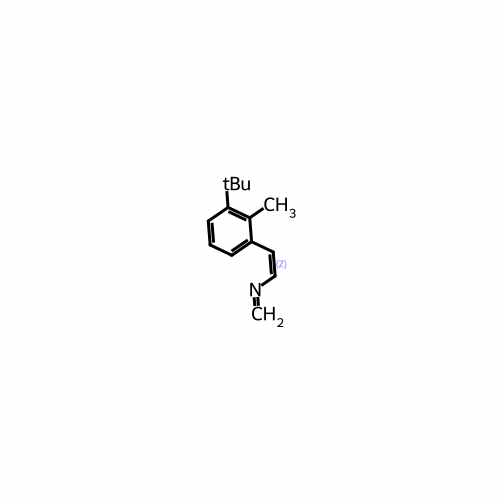 C=N/C=C\c1cccc(C(C)(C)C)c1C